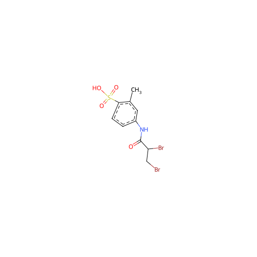 Cc1cc(NC(=O)C(Br)CBr)ccc1S(=O)(=O)O